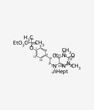 CCCCCCCN(CCc1ccc(OC(C)(C)C(=O)OCC)cc1)c1nn(C)c(=O)n(C)c1=O